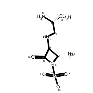 N[C@@H](CNC1CN(S(=O)(=O)[O-])C1=O)C(=O)O.[Na+]